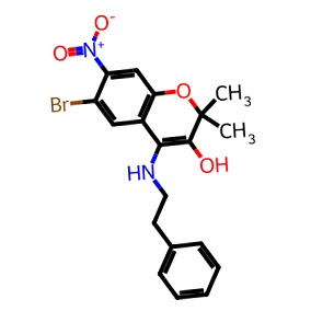 CC1(C)Oc2cc([N+](=O)[O-])c(Br)cc2C(NCCc2ccccc2)=C1O